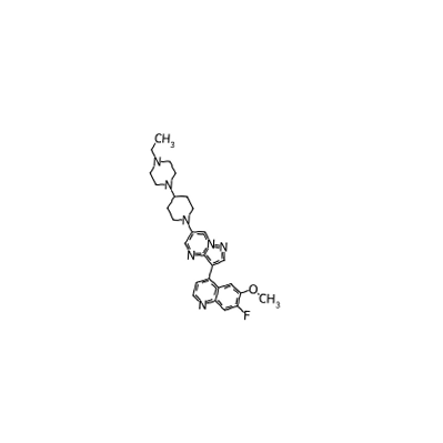 CCN1CCN(C2CCN(c3cnc4c(-c5ccnc6cc(F)c(OC)cc56)cnn4c3)CC2)CC1